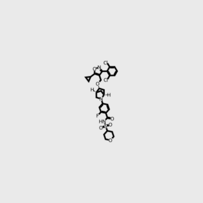 O=C(NS(=O)(=O)C1CCOCC1)c1ccc(N2C[C@@H]3C[C@H]2C[C@H]3OCc2c(-c3c(Cl)cccc3Cl)noc2C2CC2)cc1F